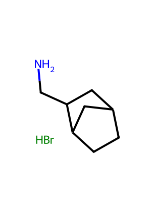 Br.NCC1CC2CCC1C2